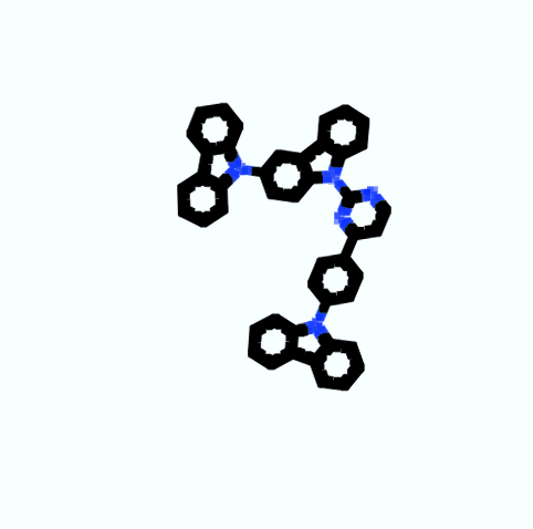 c1ccc2c(c1)c1ccccc1n2-c1ccc(-c2ccnc(-n3c4ccccc4c4cc(-n5c6ccccc6c6ccccc65)ccc43)n2)cc1